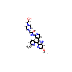 COc1cnc2c(-c3cccc(C)n3)c(-c3ccnc(NC(=O)CN4CCN(CCO)CC4)c3)[nH]c2c1